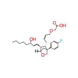 CCCCC[C@@H](O)/C=C/[C@@H]1[C@@H]2C[C@@](c3ccc(F)cc3)(CO2)[C@H]1C/C=C\COCC(=O)O